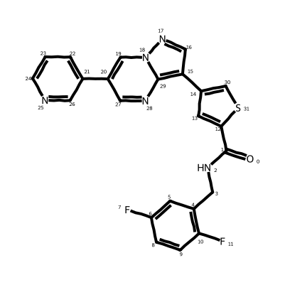 O=C(NCc1cc(F)ccc1F)c1cc(-c2cnn3cc(-c4cccnc4)cnc23)cs1